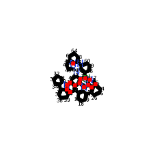 Clc1c(N(c2ccc[nH]2)c2c(-c3ccccc3)cccc2-c2ccccc2)cc(-n2c3ccccc3c3ccccc32)cc1N(c1ccc[nH]1)c1c(-c2ccccc2)cccc1-c1ccccc1